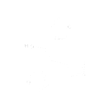 [SiH3]C(=C(c1ccoc1)c1ccoc1)c1ccoc1